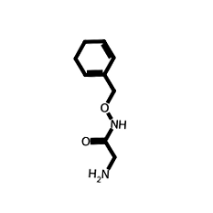 NCC(=O)NOCC1=CCCC=C1